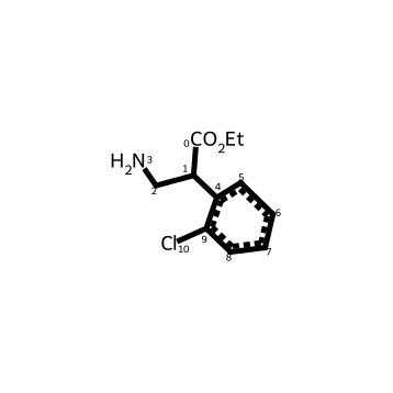 CCOC(=O)C(CN)c1ccccc1Cl